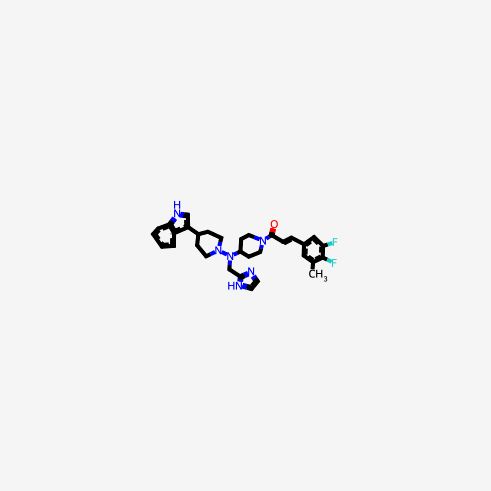 Cc1cc(/C=C/C(=O)N2CCC(N(Cc3ncc[nH]3)N3CCC(c4c[nH]c5ccccc45)CC3)CC2)cc(F)c1F